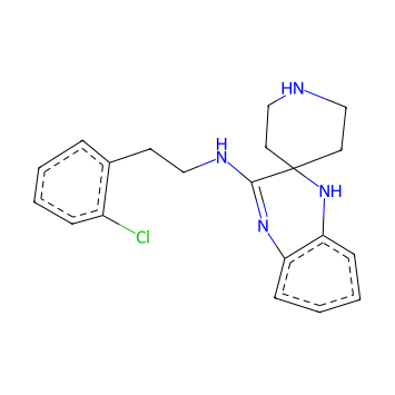 Clc1ccccc1CCNC1=Nc2ccccc2NC12CCNCC2